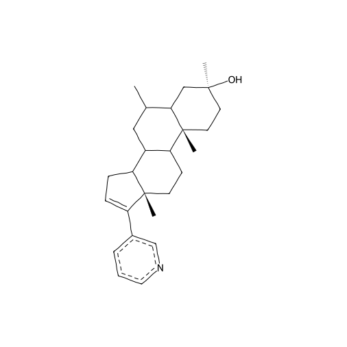 CC1CC2C(CC[C@]3(C)C(c4cccnc4)=CCC23)[C@@]2(C)CC[C@](C)(O)CC12